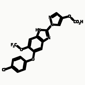 O=C(O)Oc1cnn(-c2nc3cc(Oc4ccc(Cl)cc4)c(OC(F)(F)F)cc3[nH]2)c1